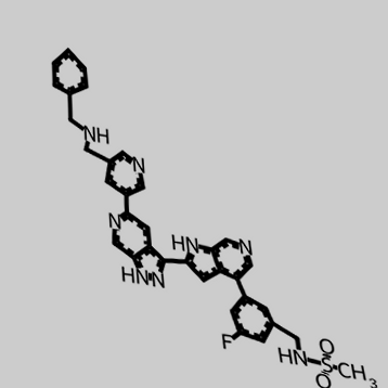 CS(=O)(=O)NCc1cc(F)cc(-c2cncc3[nH]c(-c4n[nH]c5cnc(-c6cncc(CNCc7ccccc7)c6)cc45)cc23)c1